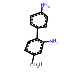 Nc1ccc(-c2ccc(C(=O)O)cc2N)cc1